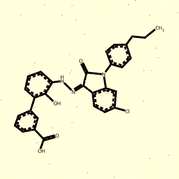 CCCc1ccc(N2C(=O)/C(=N\Nc3cccc(-c4cccc(C(=O)O)c4)c3O)c3ccc(Cl)cc32)cc1